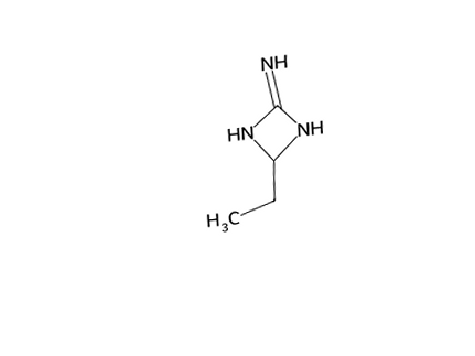 CCC1NC(=N)N1